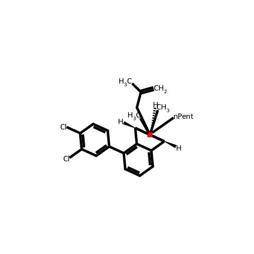 C=C(C)C[C@H]1[C@H]2c3c(-c4ccc(Cl)c(Cl)c4)cccc3[C@H](CC2(C)C)N1CCCCC